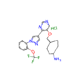 Cl.NC1CCC(COc2cncnc2-c2cnn(-c3ccccc3OC(F)(F)F)c2)CC1